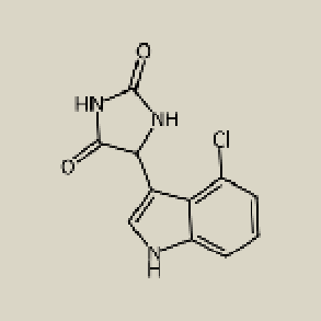 O=C1NC(=O)C(c2c[nH]c3cccc(Cl)c23)N1